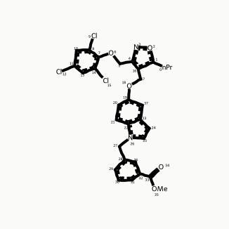 CCCc1onc(COc2c(Cl)cc(Cl)cc2Cl)c1COc1ccc2c(ccn2Cc2cccc(C(=O)OC)c2)c1